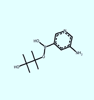 CC(C)(O)C(C)(C)OB(O)c1cncc(N)c1